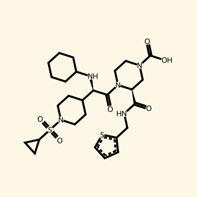 O=C(NCc1cccs1)[C@@H]1CN(C(=O)O)CCN1C(=O)[C@H](NC1CCCCC1)C1CCN(S(=O)(=O)C2CC2)CC1